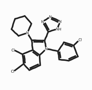 Clc1cccc(-n2c(-c3nnn[nH]3)c(N3CCCCC3)c3c(Cl)c(Cl)ccc32)c1